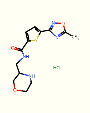 Cl.O=C(NCC1COCCN1)c1ccc(-c2noc(C(F)(F)F)n2)s1